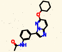 CC(=O)Nc1cccc(-c2cnc3ccc(OC4CCCCC4)nn23)c1